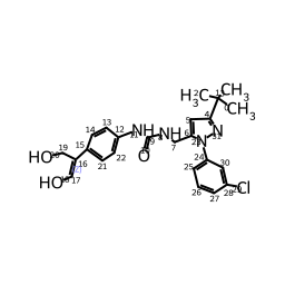 CC(C)(C)c1cc(CNC(=O)Nc2ccc(/C(=C/O)CO)cc2)n(-c2cccc(Cl)c2)n1